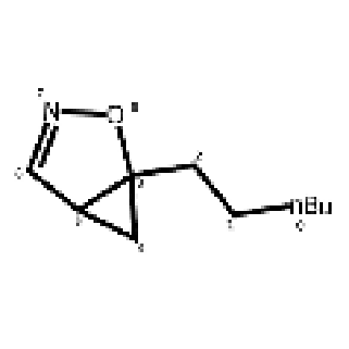 CCCCCCC12CC1C=NO2